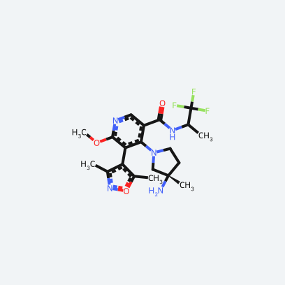 COc1ncc(C(=O)NC(C)C(F)(F)F)c(N2CC[C@](C)(N)C2)c1-c1c(C)noc1C